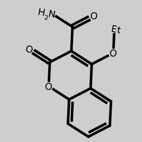 CCOc1c(C(N)=O)c(=O)oc2ccccc12